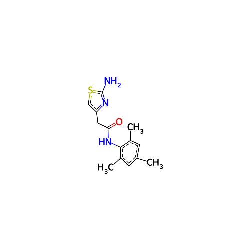 Cc1cc(C)c(NC(=O)Cc2csc(N)n2)c(C)c1